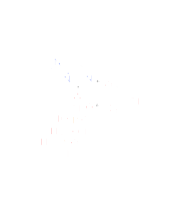 Nc1ccn([C@@H]2O[C@H](CO)[C@@H](O)[C@H]2O)c(=O)n1.O=P(O)(O)O.O=P(O)(O)O